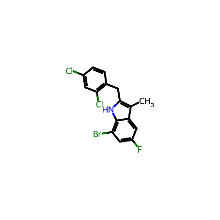 Cc1c(Cc2ccc(Cl)cc2Cl)[nH]c2c(Br)cc(F)cc12